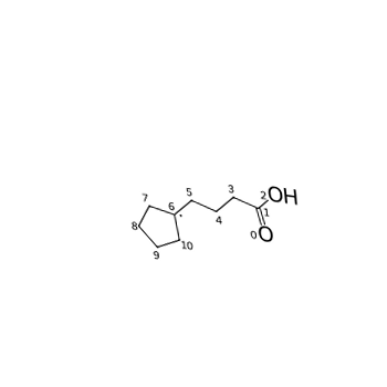 O=C(O)CCC[C]1CCCC1